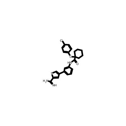 N=C(N)c1cc(-c2cccc(NC(=O)C3(Oc4ccc(Cl)cc4)CCCCC3)c2)cs1